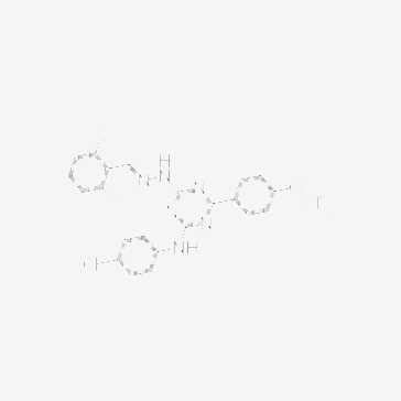 Fc1cccc(Cl)c1C=NNc1nc(Nc2ccc(Cl)cc2)nc(-c2ccc(OC(F)(F)F)cc2)n1